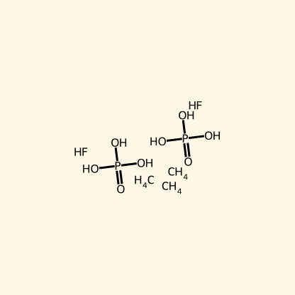 C.C.C.F.F.O=P(O)(O)O.O=P(O)(O)O